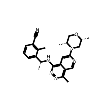 Cc1c(C#N)cccc1[C@@H](C)Nc1nnc(C)c2cnc(N3C[C@@H](C)OC[C@H]3C)cc12